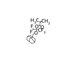 C=C(C)C(=O)OC(OCC12CC3CC(CC(C3)C1)C2)(C(F)F)C(F)(F)F